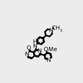 COc1ccncc1-c1cc2c(c(Nc3ccc(C4CCN(C)CC4)cc3)n1)C(=O)[N]C=C2